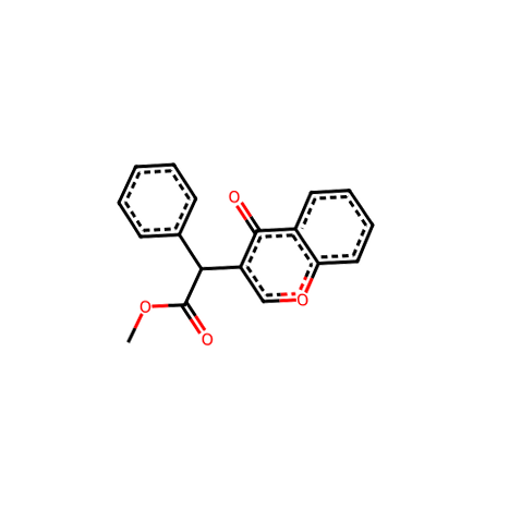 COC(=O)C(c1ccccc1)c1coc2ccccc2c1=O